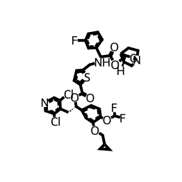 O=C(O[C@@H](Cc1c(Cl)cncc1Cl)c1ccc(OC(F)F)c(OCC2CC2)c1)c1ccc(CNC(C(=O)O[C@H]2CN3CCC2CC3)c2cccc(F)c2)s1